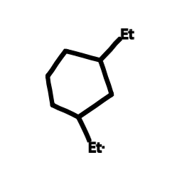 C[CH]C1CCCC(CC)C1